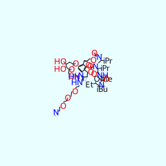 CCC(C)C(C(CC)OC)N(C)C(=O)CNC(=O)C(C(C)C)N(C)C(=O)OC(C/C(=C/NCCOCCOCCOCCN(C)C)N=N)c1ccc(OC2CC(O)C(O)C(CO)O2)c2cc(COC(=O)N(C)C(C)C(C)C)oc12